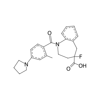 Cc1cc(N2CCCC2)ccc1C(=O)N1CCC(F)(C(=O)O)Cc2ccccc21